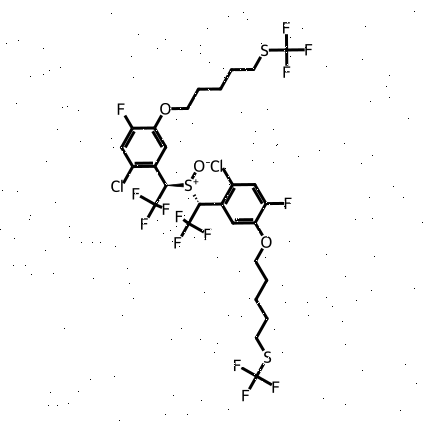 [O-][S+]([C@H](c1cc(OCCCCCSC(F)(F)F)c(F)cc1Cl)C(F)(F)F)[C@H](c1cc(OCCCCCSC(F)(F)F)c(F)cc1Cl)C(F)(F)F